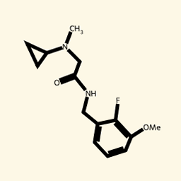 COc1cccc(CNC(=O)CN(C)C2CC2)c1F